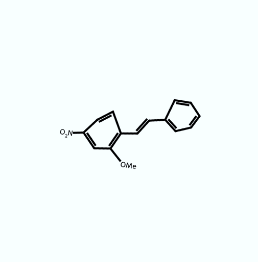 COc1cc([N+](=O)[O-])ccc1/C=C/c1ccccc1